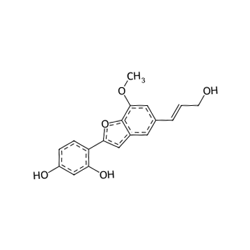 COc1cc(/C=C/CO)cc2cc(-c3ccc(O)cc3O)oc12